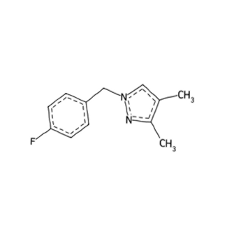 Cc1cn(Cc2ccc(F)cc2)nc1C